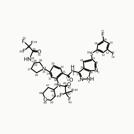 O=C(Nc1n[nH]c2ncc(Sc3cc(F)cc(F)c3)cc12)c1ccc(N2CC[C@H](NC(=O)C(F)(F)F)C2)cc1N(C(=O)C(F)(F)F)C1CCOCC1